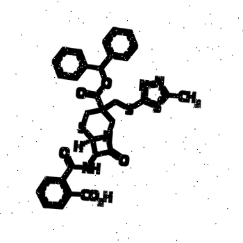 Cc1nnc(SCC2(C(=O)OC(c3ccccc3)c3ccccc3)CS[C@@H]3C(NC(=O)c4ccccc4C(=O)O)C(=O)N3C2)s1